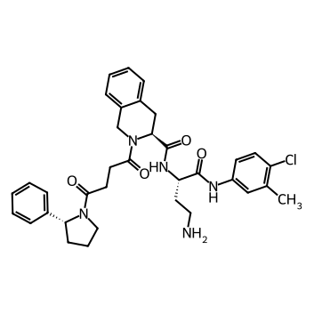 Cc1cc(NC(=O)[C@H](CCN)NC(=O)[C@@H]2Cc3ccccc3CN2C(=O)CCC(=O)N2CCC[C@@H]2c2ccccc2)ccc1Cl